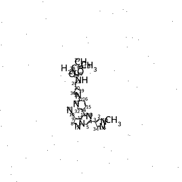 Cn1cc(-c2cn3ncc(C#N)c3c(-c3ccc(N4CC(CNC(=O)OC(C)(C)C)C4)nc3)n2)cn1